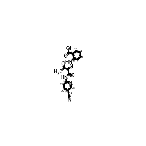 CC(=O)/C(=N\Nc1ccccc1C(=O)O)C(=O)Nc1ccc(C#N)cn1